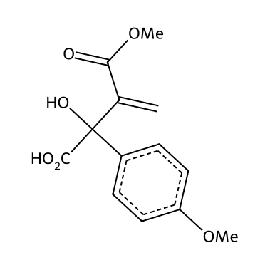 C=C(C(=O)OC)C(O)(C(=O)O)c1ccc(OC)cc1